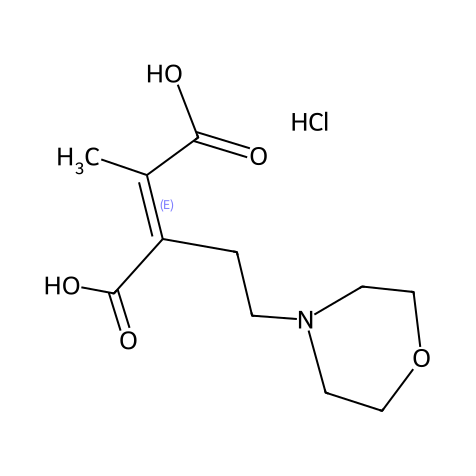 C/C(C(=O)O)=C(/CCN1CCOCC1)C(=O)O.Cl